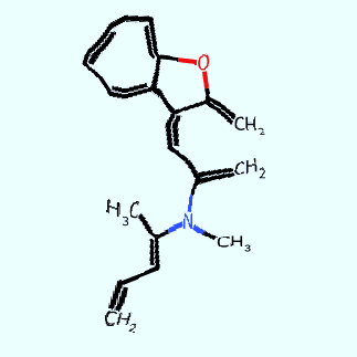 C=C/C=C(\C)N(C)C(=C)/C=c1\c(=C)oc2ccccc12